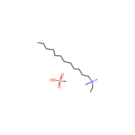 CCCCCCCCCCCC[N+](C)(C)CC.CS(=O)(=O)O